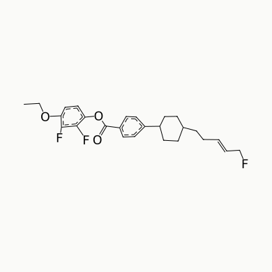 CCOc1ccc(OC(=O)c2ccc(C3CCC(CCC=CCF)CC3)cc2)c(F)c1F